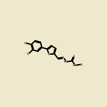 CCNC(=S)N/N=C/c1ccc(-c2ccc(Cl)c(Cl)c2)o1